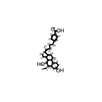 CC[C@@H]1C2C[C@H](O)CC[C@]2(C)C2CC[C@@]3(C)C(CC[C@@H]3[C@H](C)CCCc3ccc(C(=O)O)cc3)C2[C@@H]1O